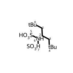 CC(C)(C)CCCC(C)(C)C.O=S(=O)(O)NS(=O)(=O)O